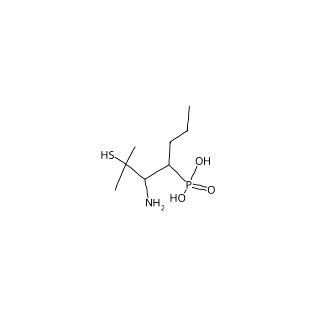 CCCC(C(N)C(C)(C)S)P(=O)(O)O